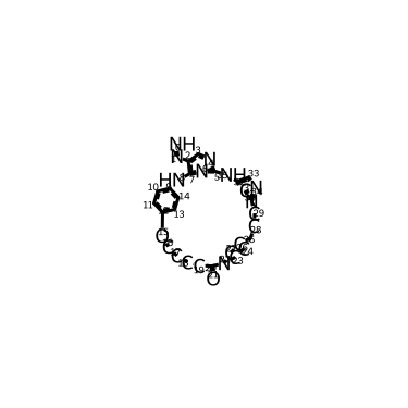 N=Nc1cnc2nc1Nc1ccc(cc1)OCCCCC(=O)N1CCC(CC1)CCn1cc(cn1)N2